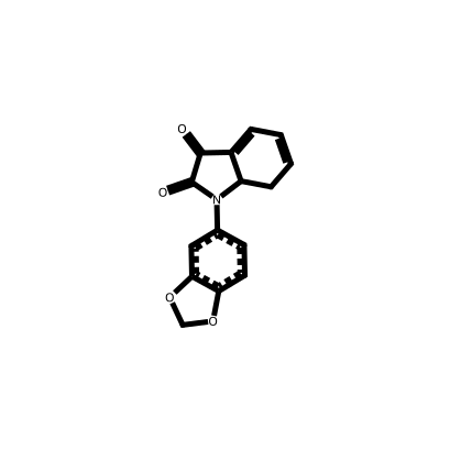 O=C1C(=O)N(c2ccc3c(c2)OCO3)C2CC=CC=C12